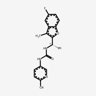 Cc1c([C@@H](NC(=O)Nc2ccc(C#N)nc2)C(C)C)oc2ccc(F)cc12